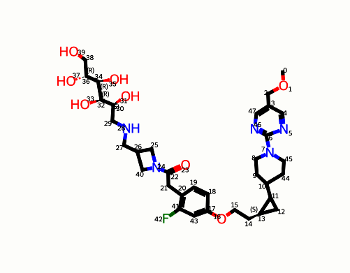 COCc1cnc(N2CCC(C3C[C@H]3CCOc3ccc(CC(=O)N4CC(CNC[C@H](O)[C@@H](O)[C@H](O)[C@H](O)CO)C4)c(F)c3)CC2)nc1